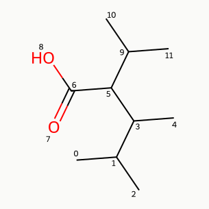 CC(C)C(C)C(C(=O)O)C(C)C